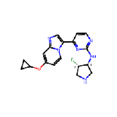 F[C@H]1CNC[C@@H]1Nc1nccc(-c2cnc3cc(OC4CC4)ccn23)n1